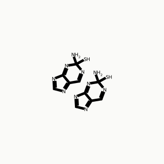 NC1(S)N=CC2=NC=NC2=N1.NC1(S)N=CC2=NC=NC2=N1